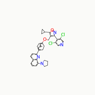 Clc1cncc(Cl)c1-c1noc(C2CC2)c1COC12CCC(c3ccc4cccc(N5CCCC5)c4n3)(CC1)CC2